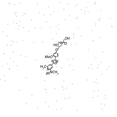 COc1cc(OCC(O)CNC(=O)CO)ccc1-c1noc(-c2cc(C)nc(N(C)C(C)C)c2)n1